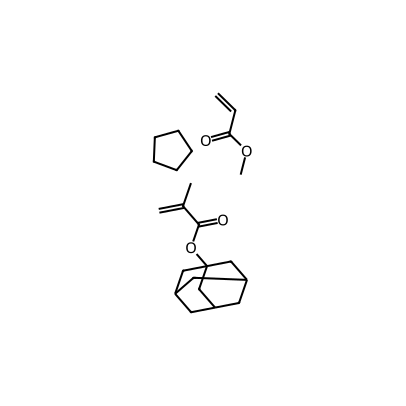 C1CCCC1.C=C(C)C(=O)OC12CC3CC(CC(C3)C1)C2.C=CC(=O)OC